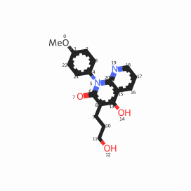 COc1ccc(-n2c(=O)c(CCCO)c(O)c3cccnc32)cc1